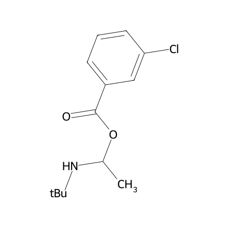 CC(NC(C)(C)C)OC(=O)c1cccc(Cl)c1